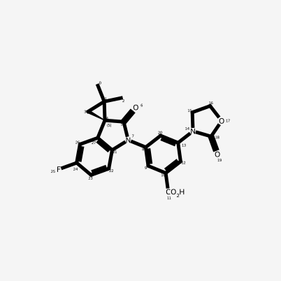 CC1(C)C[C@]12C(=O)N(c1cc(C(=O)O)cc(N3CCOC3=O)c1)c1ccc(F)cc12